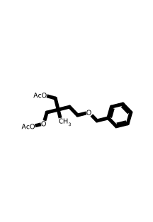 CC(=O)OCC(C)(CCOCc1ccccc1)COOC(C)=O